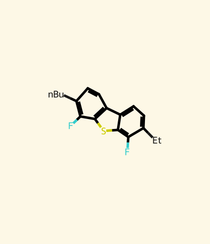 CCCCc1ccc2c(sc3c(F)c(CC)ccc32)c1F